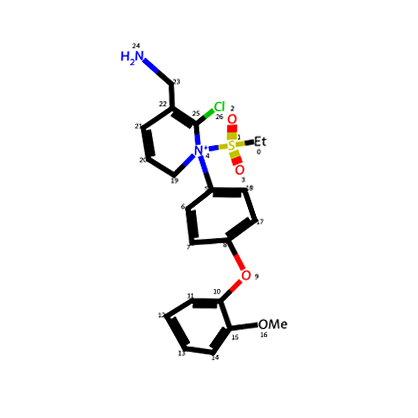 CCS(=O)(=O)[N+]1(c2ccc(Oc3ccccc3OC)cc2)CC=CC(CN)=C1Cl